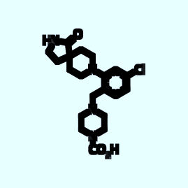 O=C(O)N1CCN(Cc2ccc(Cl)cc2N2CCC3(CCNC3=O)CC2)CC1